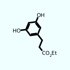 CCOC(=O)CCc1cc(O)cc(O)c1